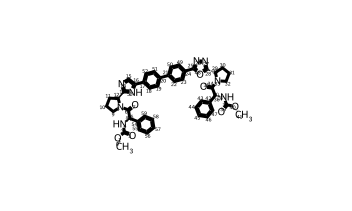 COC(=O)N[C@@H](C(=O)N1CCC[C@H]1c1ncc(-c2ccc(-c3ccc(-c4nnc([C@@H]5CCCN5C(=O)[C@H](NC(=O)OC)c5ccccc5)o4)cc3)cc2)[nH]1)c1ccccc1